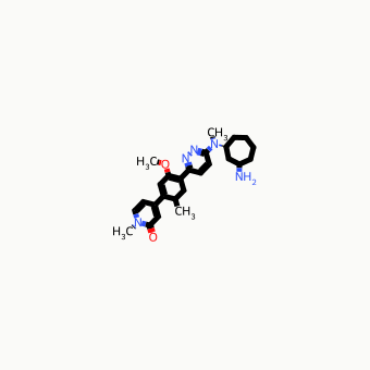 COC1=C(c2ccc(N(C)[C@@H]3CCCCC(N)C3)nn2)CC(C)C(c2ccn(C)c(=O)c2)=C1